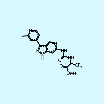 COC(=O)C(NC(=O)Nc1cc2[nH]nc(-c3ccnc(C)c3)c2cn1)C(F)(F)F